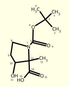 CC(C)(C)OC(=O)N1CCC(O)C1(C)C(=O)O